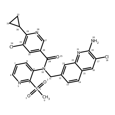 CS(=O)(=O)c1ncccc1N(Cc1ccc2cc(Cl)c(N)nc2c1)C(=O)c1cnc(C2CC2)c(Cl)c1